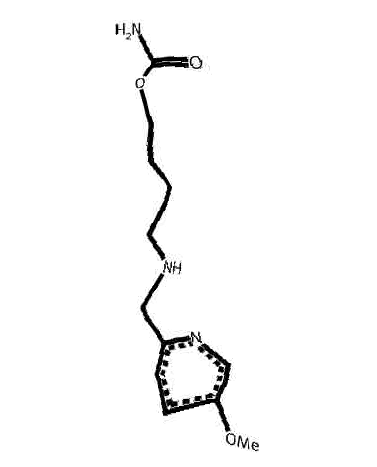 COc1ccc(CNCCCCOC(N)=O)nc1